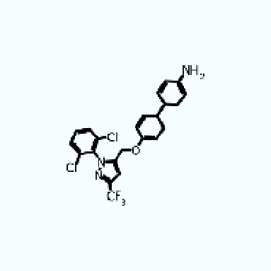 NC1=CCC(C2C=CC(OCc3cc(C(F)(F)F)nn3-c3c(Cl)cccc3Cl)=CC2)C=C1